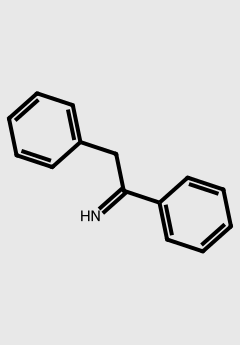 N=C(Cc1ccccc1)c1ccccc1